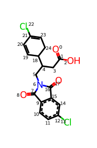 O=C(O)CC(CN1C(=O)c2ccc(Cl)cc2C1=O)C1C=CC(Cl)=CC1